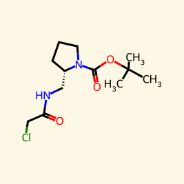 CC(C)(C)OC(=O)N1CCC[C@H]1CNC(=O)CCl